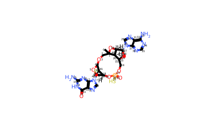 CC12COC3O[C@@H](n4cnc5c(=O)[nH]c(N)nc54)[C@H](OP(=O)(S)OC[C@H]4O[C@@H](n5cnc6c(N)ncnc65)[C@H](O1)[C@@H]42)[C@@H]3F